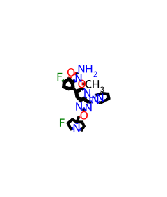 COc1nc2c(N3CC4CCC(C3)N4)nc(OCC34CCCN3C[C@H](F)C4)nc2cc1-c1ccc(F)c2oc(N)nc12